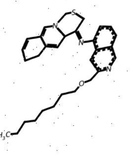 CCCCCCCCOCc1cc2c(N=C3CSCN4C=C5C=CCCC5=CC34)cccc2cn1